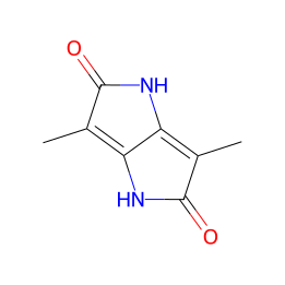 CC1=C2NC(=O)C(C)=C2NC1=O